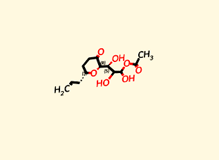 C=CC[C@@H]1CCC(=O)[C@@H]([C@@H](O)C(O)C(O)OC(C)=O)O1